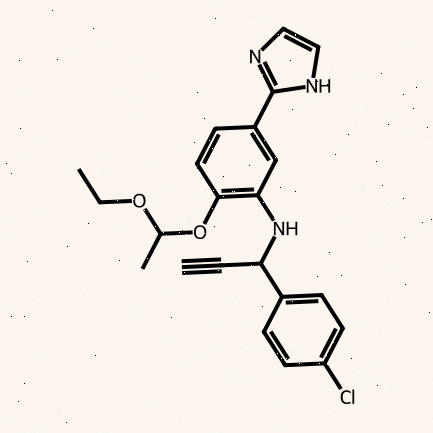 C#CC(Nc1cc(-c2ncc[nH]2)ccc1OC(C)OCC)c1ccc(Cl)cc1